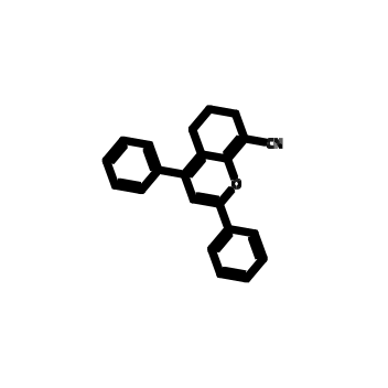 N#CC1=C2OC(c3ccccc3)=CC(c3ccccc3)=C2CCC1